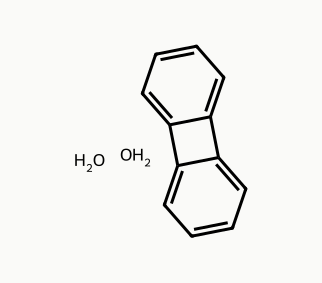 O.O.c1ccc2c(c1)-c1ccccc1-2